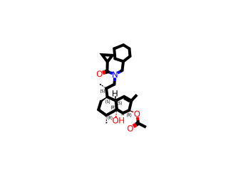 CC(=O)O[C@@H]1[C][C@@]2(O)[C@H](C)CC[C@@H]([C@H](C)CN(CC3CCCCC3)C(=O)C3CC3)[C@H]2C=C1C